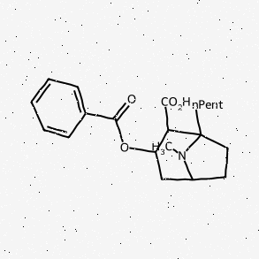 CCCCCC12CCC(CC(OC(=O)c3ccccc3)C1C(=O)O)N2C